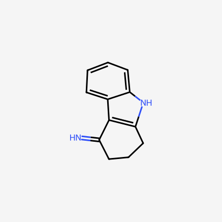 N=C1CCCc2[nH]c3ccccc3c21